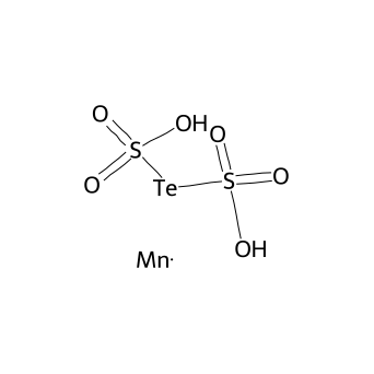 O=S(=O)(O)[Te]S(=O)(=O)O.[Mn]